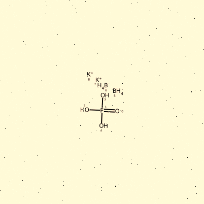 O=P(O)(O)O.[BH4-].[BH4-].[K+].[K+]